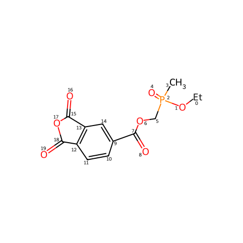 CCOP(C)(=O)COC(=O)c1ccc2c(c1)C(=O)OC2=O